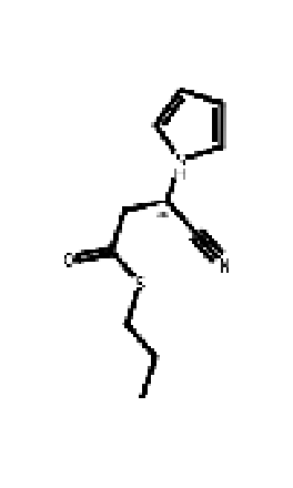 CCCSC(=O)C[C@H](C#N)[SH]1C=CC=C1